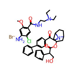 CCN(CC)CCNC(=O)c1cc(Cl)c(N)cc1OC.C[N+]1(CC(=O)c2ccc(-c3ccccc3)cc2)C2CCC1CC(OC(=O)C(CO)c1ccccc1)C2.[Br-]